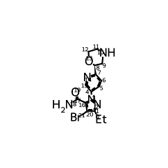 CCc1nn(-c2ccc([C@@H]3CNCCO3)nc2)c(C(N)=O)c1Br